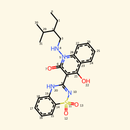 CCC(CNn1c(=O)c(C2=NS(=O)(=O)c3ccccc3N2)c(O)c2ccccc21)C(C)C